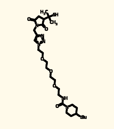 CC(C)(C)C1CCN(C(=O)NCCOCCOCCOCCn2cc(CN3C(=O)CC(C(C)(C)S)C3=O)nn2)CC1